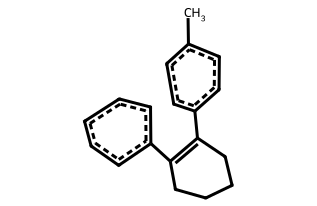 Cc1ccc(C2=C(c3ccccc3)CCCC2)cc1